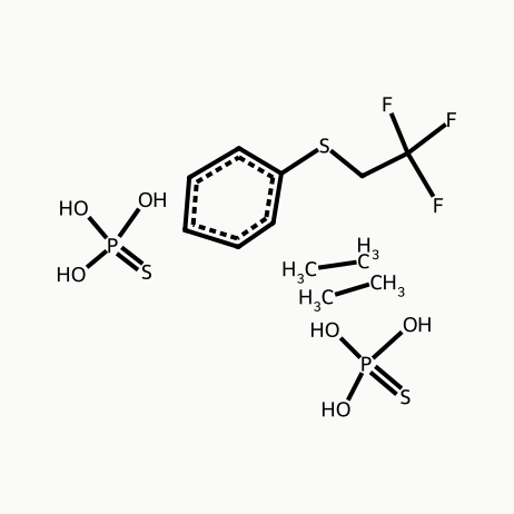 CC.CC.FC(F)(F)CSc1ccccc1.OP(O)(O)=S.OP(O)(O)=S